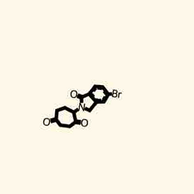 O=C1CCC(=O)C(N2Cc3cc(Br)ccc3C2=O)CC1